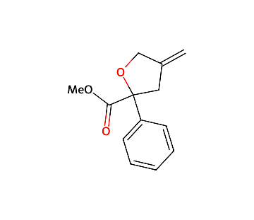 C=C1COC(C(=O)OC)(c2ccccc2)C1